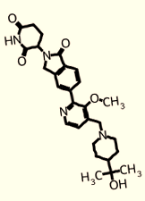 COc1c(CN2CCC(C(C)(C)O)CC2)ccnc1-c1ccc2c(c1)CN(C1CCC(=O)NC1=O)C2=O